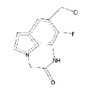 O=C1Cn2ccc3cc(CCl)c(F)c(c32)N1